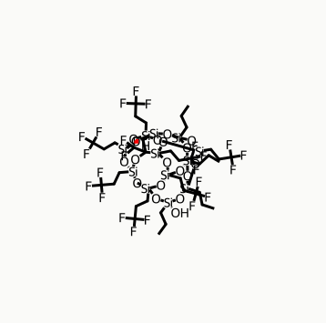 CCC[Si]1(O)O[Si]2(CCC)O[Si]3(CCC(F)(F)F)O[SiH](CCC(F)(F)F)O[Si]4(CCC(F)(F)F)O[Si]5(CCC(F)(F)F)OC6(C(F)(F)F)C[Si]7(O4)O[Si](CCC)(O3)O[Si](CCC)(O2)O[Si](CCC(F)(F)F)(O[Si](CCC(F)(F)F)(O1)O5)O[Si]6(CCC(F)(F)F)O7